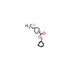 CCC1(F)CCN(C(=O)OCc2ccccc2)CC1